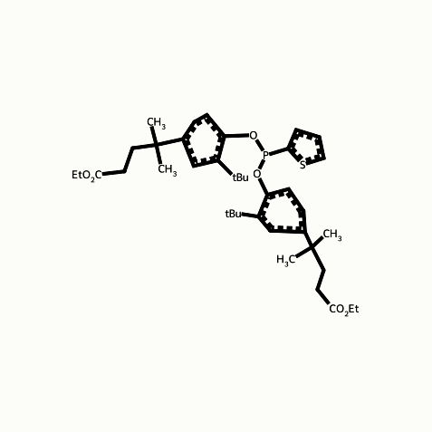 CCOC(=O)CCC(C)(C)c1ccc(OP(Oc2ccc(C(C)(C)CCC(=O)OCC)cc2C(C)(C)C)c2cccs2)c(C(C)(C)C)c1